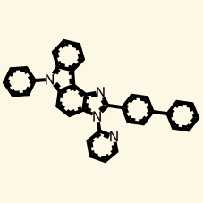 c1ccc(-c2ccc(-c3nc4c5c6ccccc6n(-c6ccccc6)c5ccc4n3-c3ccccn3)cc2)cc1